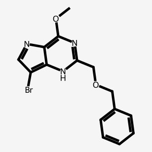 COc1nc(COCc2ccccc2)[nH]c2c(Br)cnc1-2